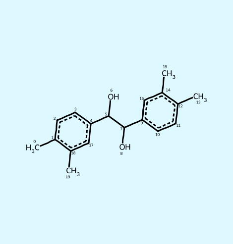 Cc1ccc(C(O)C(O)c2ccc(C)c(C)c2)cc1C